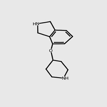 c1cc2c(c(OC3CCNCC3)c1)CNC2